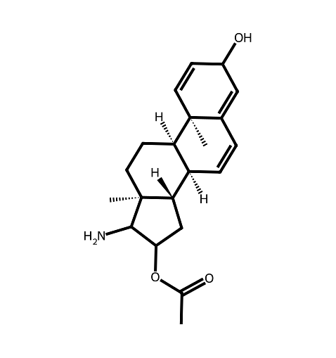 CC(=O)OC1C[C@H]2[C@@H]3C=CC4=CC(O)C=C[C@]4(C)[C@@H]3CC[C@]2(C)C1N